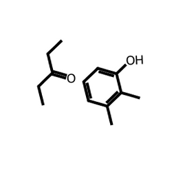 CCC(=O)CC.Cc1cccc(O)c1C